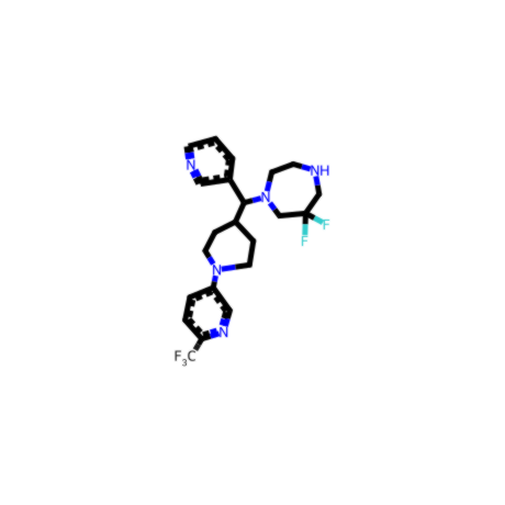 FC1(F)CNCCN(C(c2cccnc2)C2CCN(c3ccc(C(F)(F)F)nc3)CC2)C1